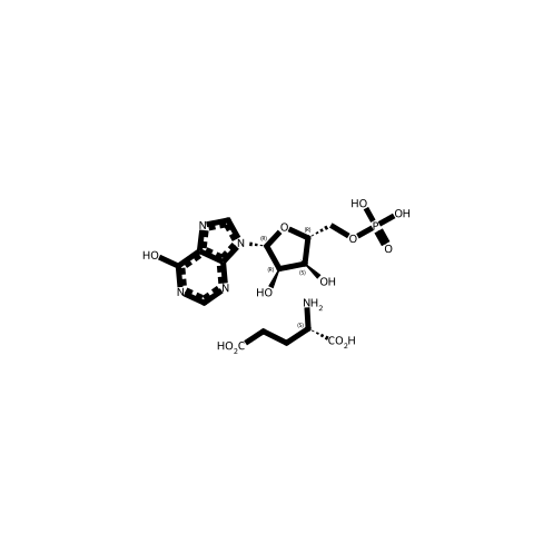 N[C@@H](CCC(=O)O)C(=O)O.O=P(O)(O)OC[C@H]1O[C@@H](n2cnc3c(O)ncnc32)[C@H](O)[C@@H]1O